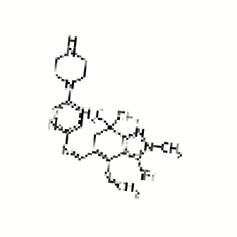 C=NC1=C(/C=N\c2ccc(N3CCNCC3)cn2)CC(C)(C)c2nn(C)c(C(C)C)c21